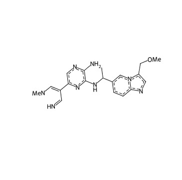 CN/C=C(\C=N)c1cnc(N)c(NC(C)c2ccc3ncc(COC)n3c2)n1